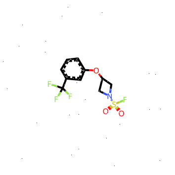 O=S(=O)(F)N1CC(Oc2cccc(C(F)(F)F)c2)C1